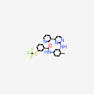 Cc1ccc(NC(=O)c2cccc(SC(F)(F)F)c2)cc1Nc1nccc(-c2cccnc2)n1